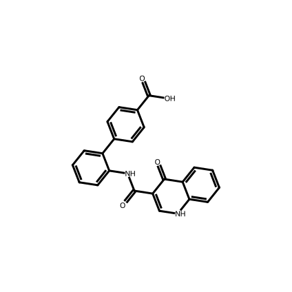 O=C(O)c1ccc(-c2ccccc2NC(=O)c2c[nH]c3ccccc3c2=O)cc1